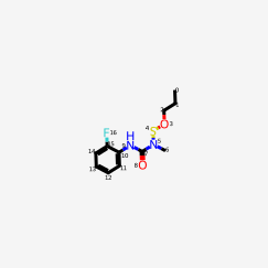 CCCOSN(C)C(=O)Nc1ccccc1F